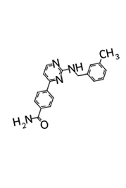 Cc1cccc(CNc2nccc(-c3ccc(C(N)=O)cc3)n2)c1